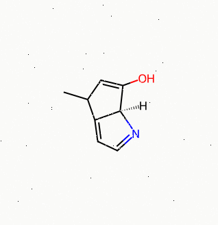 CC1C=C(O)[C@H]2N=CC=C12